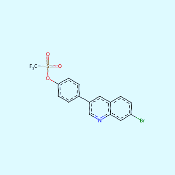 O=S(=O)(Oc1ccc(-c2cnc3cc(Br)ccc3c2)cc1)C(F)(F)F